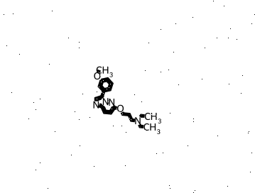 CCN(CC)CCCOc1ccc2ncc(-c3cccc(OC)c3)n2n1